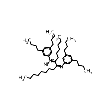 CCCCCCCCC(=Nc1cc(CCCC)cc(CCCC)c1)C(CCCCCC)=[N+]([Ni])c1cc(CCCC)cc(CCCC)c1